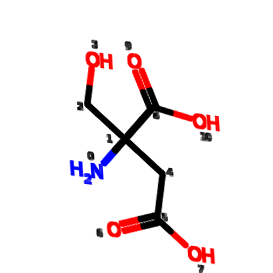 NC(CO)(CC(=O)O)C(=O)O